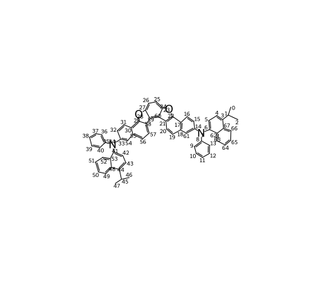 CC(C)c1ccc(N(c2ccccc2)c2ccc3c(ccc4c3oc3ccc5oc6c7ccc(N(c8ccccc8)c8ccc(C(C)C)c9ccccc89)cc7ccc6c5c34)c2)c2ccccc12